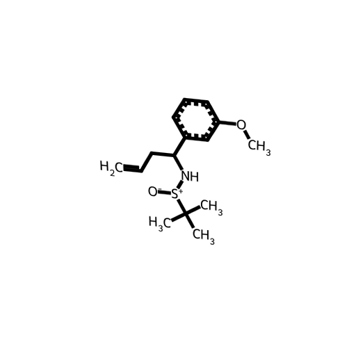 C=CCC(N[S+]([O-])C(C)(C)C)c1cccc(OC)c1